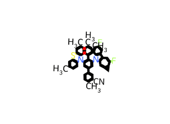 Cc1ccc2c(c1)Sc1cc(C)ccc1N2c1cc(-c2ccc(C)c(C#N)c2)cc(-n2c3c(c4cc(F)ccc42)C=C(F)C2CC2=C3)c1-c1ccc(C)c(C)c1